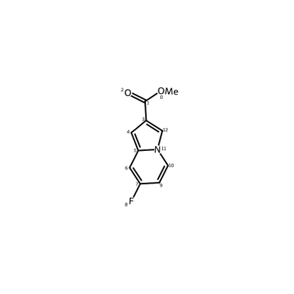 COC(=O)c1cc2cc(F)ccn2c1